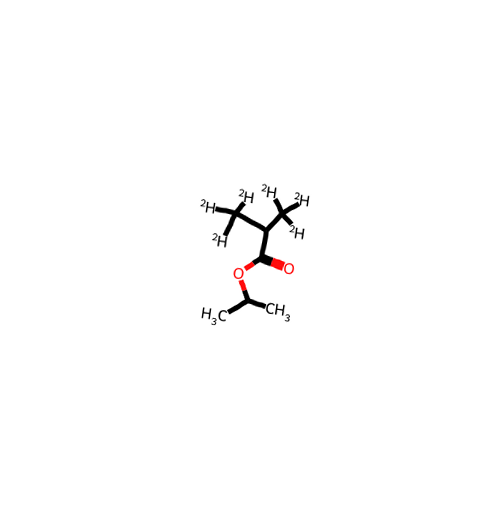 [2H]C([2H])([2H])C(C(=O)OC(C)C)C([2H])([2H])[2H]